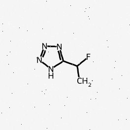 [CH2]C(F)c1nnn[nH]1